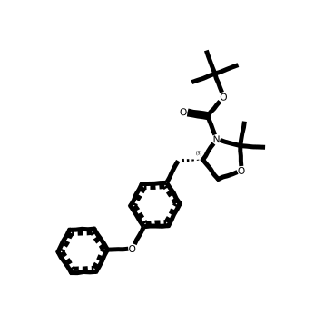 CC(C)(C)OC(=O)N1[C@@H](Cc2ccc(Oc3ccccc3)cc2)COC1(C)C